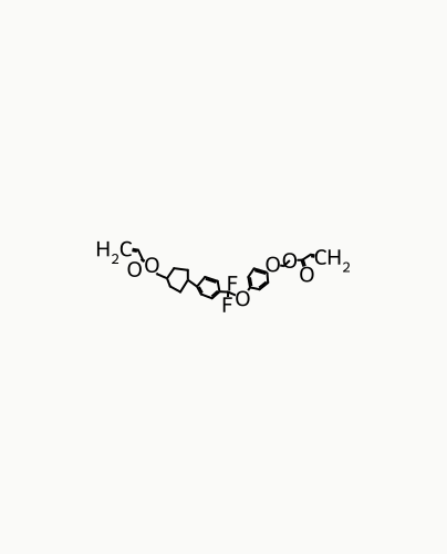 C=CC(=O)OCOc1ccc(OC(F)(F)c2ccc(C3CCC(COC(=O)C=C)CC3)cc2)cc1